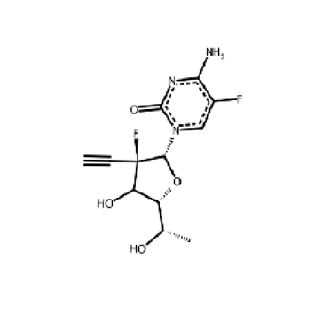 C#C[C@@]1(F)C(O)[C@@H]([C@H](C)O)O[C@H]1n1cc(F)c(N)nc1=O